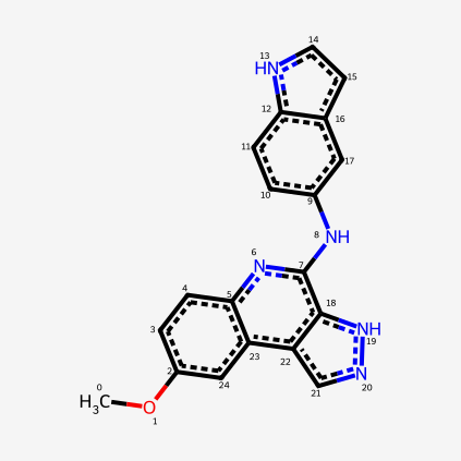 COc1ccc2nc(Nc3ccc4[nH]ccc4c3)c3[nH]ncc3c2c1